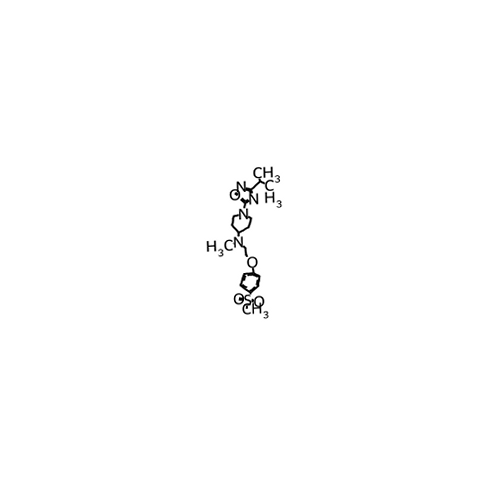 CC(C)c1noc(N2CCC(N(C)CCOc3ccc(S(C)(=O)=O)cc3)CC2)n1